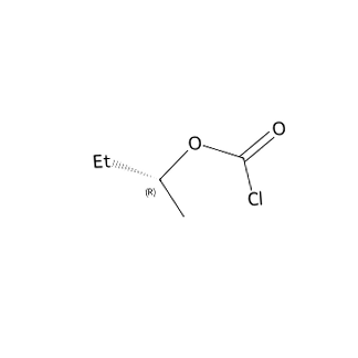 CC[C@@H](C)OC(=O)Cl